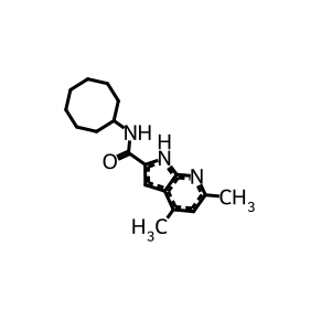 Cc1cc(C)c2cc(C(=O)NC3CCCCCCC3)[nH]c2n1